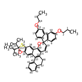 CCCOc1ccc(C2(c3ccc(OCCC)cc3)C=Cc3c4c(c5cc6c(cc5c3O2)SC(C(C)C)(C(C)C)O6)-c2ccccc2CC4)cc1